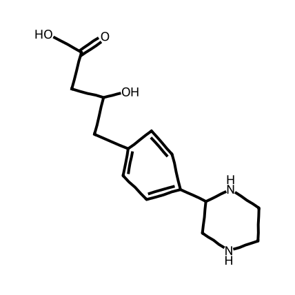 O=C(O)CC(O)Cc1ccc(C2CNCCN2)cc1